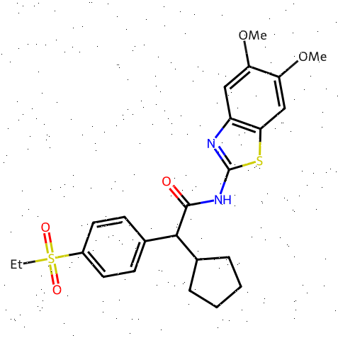 CCS(=O)(=O)c1ccc(C(C(=O)Nc2nc3cc(OC)c(OC)cc3s2)C2CCCC2)cc1